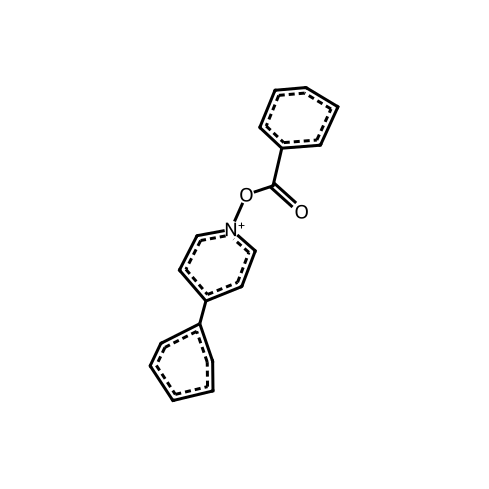 O=C(O[n+]1ccc(-c2ccccc2)cc1)c1ccccc1